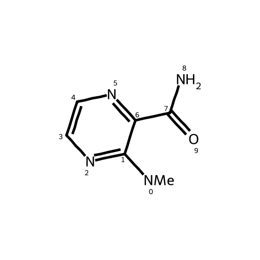 CNc1nccnc1C(N)=O